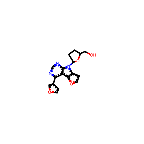 OCC1CCC(n2c3ccoc3c3c(-c4ccoc4)ncnc32)O1